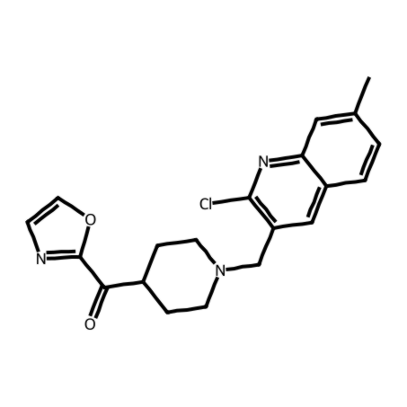 Cc1ccc2cc(CN3CCC(C(=O)c4ncco4)CC3)c(Cl)nc2c1